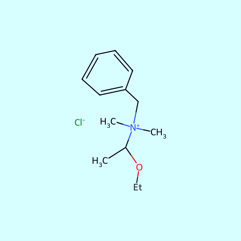 CCOC(C)[N+](C)(C)Cc1ccccc1.[Cl-]